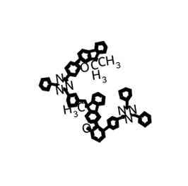 CC1(C)c2ccccc2-c2ccc3c(oc4cc(-c5nc(-c6ccccc6)nc(-c6cccc(CC7(C)c8ccccc8-c8cc9c(cc87)oc7cccc(-c8ccc(-c%10nc(-c%11ccccc%11)nc(-c%11ccccc%11)n%10)cc8)c79)c6)n5)ccc43)c21